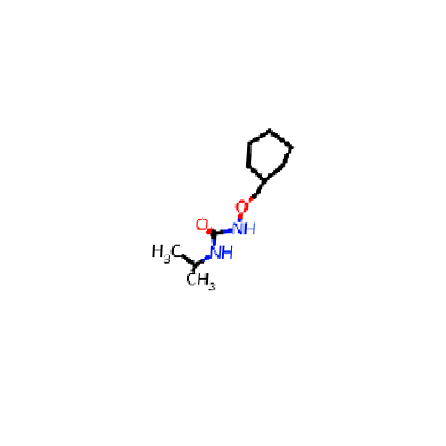 CC(C)NC(=O)NOCC1CCCCC1